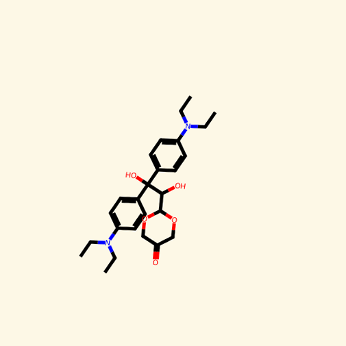 CCN(CC)c1ccc(C(O)(c2ccc(N(CC)CC)cc2)C(O)C2OCC(=O)CO2)cc1